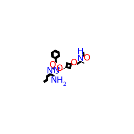 C=C/C=C(CN)/N=C(/OCc1ccccc1)N(C)OC[C@H]1C[C@H](OC[C@H](C)NC(C)=O)C1